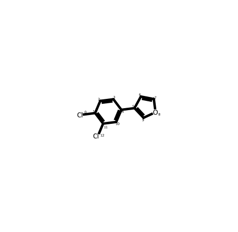 Clc1ccc(-c2c[c]oc2)cc1Cl